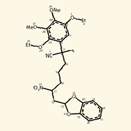 CCOc1cc(C(C)(C#N)CCCC(CC2Oc3ccccc3O2)[N+](=O)[O-])c(OCC)c(OC)c1OC